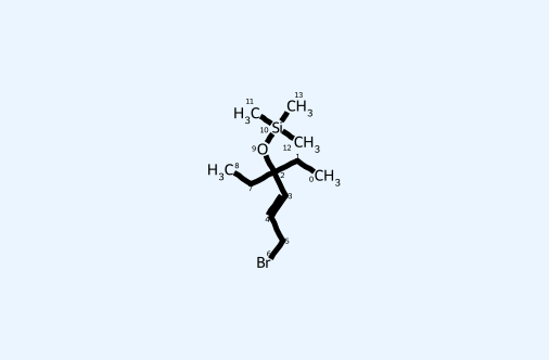 CCC(C=CCBr)(CC)O[Si](C)(C)C